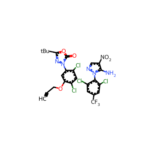 C#CCOc1cc(-n2nc(C(C)(C)C)oc2=O)c(Cl)cc1Cl.Nc1c([N+](=O)[O-])cnn1-c1c(Cl)cc(C(F)(F)F)cc1Cl